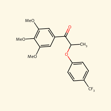 COc1cc(C(=O)C(C)Oc2ccc(C(F)(F)F)cc2)cc(OC)c1OC